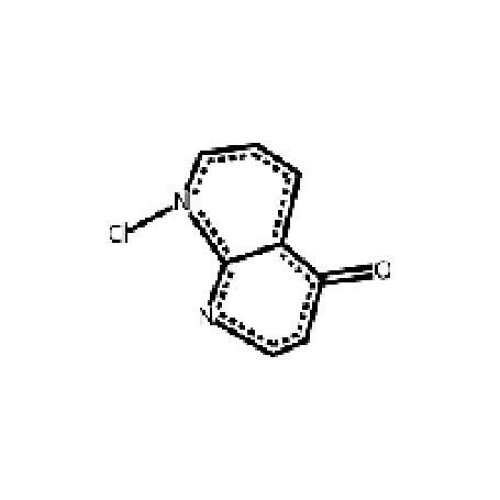 O=c1ccnc2n(Cl)cccc1-2